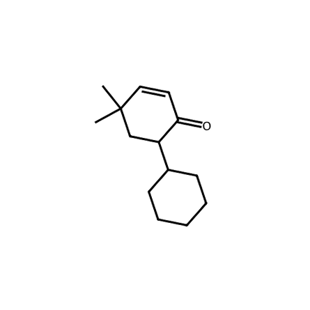 CC1(C)C=CC(=O)C(C2CCCCC2)C1